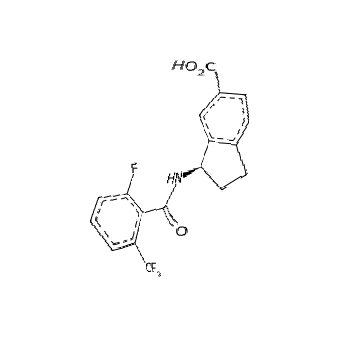 O=C(O)c1ccc2c(c1)[C@H](NC(=O)c1c(F)cccc1C(F)(F)F)CC2